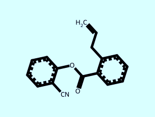 C=CCc1ccccc1C(=O)Oc1ccccc1C#N